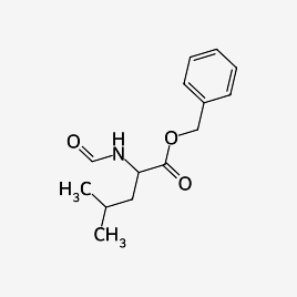 CC(C)CC(NC=O)C(=O)OCc1ccccc1